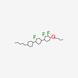 CCCCCC1CCC(C2CCC(C3CCC(OCCCC)C(F)C3F)CC2F)CC1